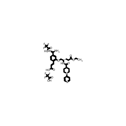 CCOC(=O)CC[C@@H](COc1cc(C(=N)N)ccc1C=CC(=O)O)NC(=O)C1CCN(c2ccncc2)CC1.O=C(O)C(F)(F)F.O=C(O)C(F)(F)F